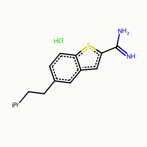 CC(C)CCc1ccc2sc(C(=N)N)cc2c1.Cl